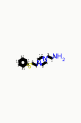 NCCN1CCN(CCSc2ccccc2)CC1